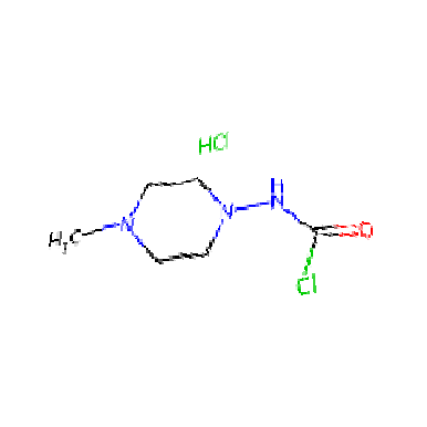 CN1CCN(NC(=O)Cl)CC1.Cl